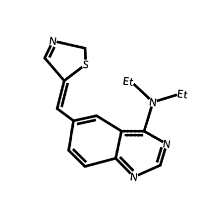 CCN(CC)c1ncnc2ccc(C=C3C=NCS3)cc12